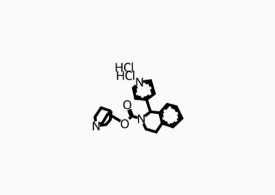 Cl.Cl.O=C(OC1CN2CCC1CC2)N1CCc2ccccc2C1c1ccncc1